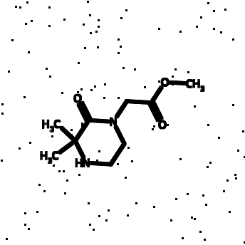 COC(=O)CN1CCNC(C)(C)C1=O